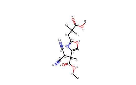 CCOC(=O)C(C)(c1coc(CC(C)(C)C(=O)OC)n1)C(C#N)C#N